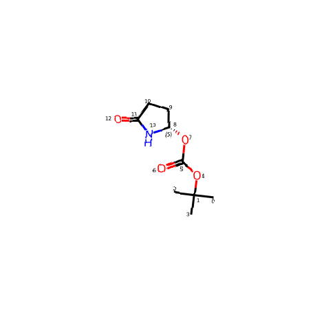 CC(C)(C)OC(=O)O[C@H]1CCC(=O)N1